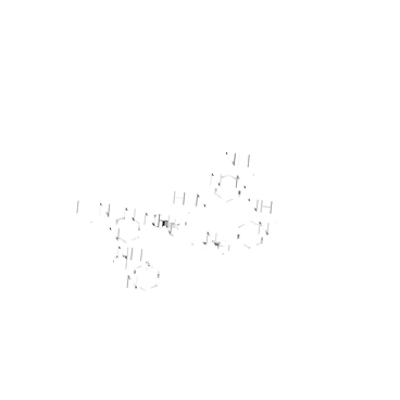 Cc1ccc(C(C[N+](=O)[O-])c2c(N)nc(N)nc2N)cn1.Cc1ccnc(Cl)c1C(C[N+](=O)[O-])c1c(N)nc(N)nc1N